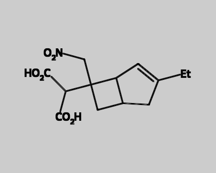 CCC1=CC2C(C1)CC2(C[N+](=O)[O-])C(C(=O)O)C(=O)O